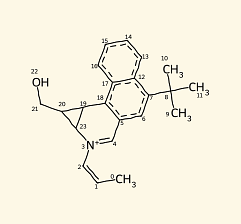 C/C=C\[N+]1=Cc2cc(C(C)(C)C)c3ccccc3c2C2C(CO)C21